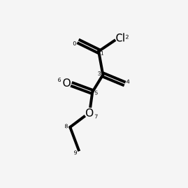 C=C(Cl)C(=C)C(=O)OCC